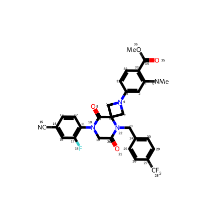 CNc1cc(N2CC3(C2)C(=O)N(c2ccc(C#N)cc2F)CC(=O)N3Cc2ccc(C(F)(F)F)cc2)ccc1C(=O)OC